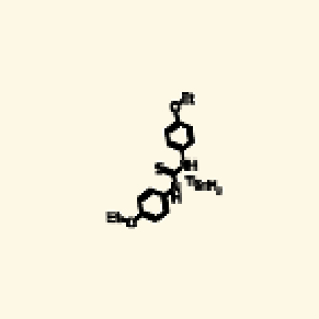 CCOc1ccc(NC(=S)Nc2ccc(OCC)cc2)cc1.[SrH2].[Ti]